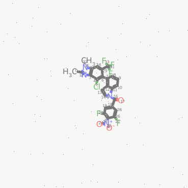 Cc1nc2c(Cl)c(-c3cccc4c3ccn4C(=O)c3cc(F)c([N+](=O)[O-])c(F)c3)c(C(F)(F)F)cc2n1C